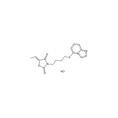 C/C=C1\OC(=O)N(CCCCSc2cccc3nccn23)C1=O.Cl